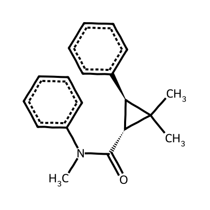 CN(C(=O)[C@@H]1[C@@H](c2ccccc2)C1(C)C)c1ccccc1